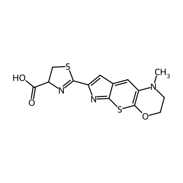 CN1CCOc2sc3nc(C4=NC(C(=O)O)CS4)cc-3cc21